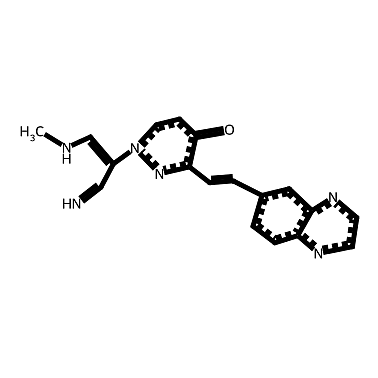 CN/C=C(\C=N)n1ccc(=O)c(/C=C/c2ccc3nccnc3c2)n1